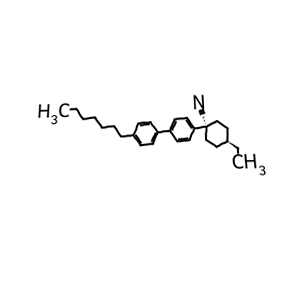 CCCCCCCc1ccc(-c2ccc([C@]3(C#N)CC[C@H](CC)CC3)cc2)cc1